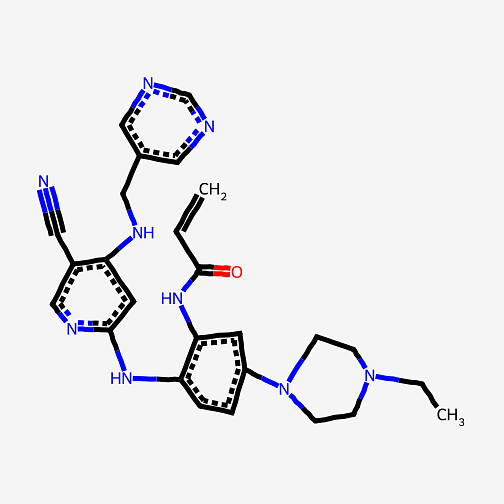 C=CC(=O)Nc1cc(N2CCN(CC)CC2)ccc1Nc1cc(NCc2cncnc2)c(C#N)cn1